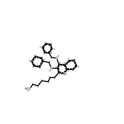 CCCCCCCc1nc2ccccc2c(OCc2ccccc2)c1OCc1ccccc1